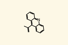 C=C(C)c1c2ccccc2nc2ccccc12